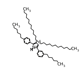 CCCCCCCCCCC[CH2][Pd][CH2]CCCCCCCCCCC.CCCCCCc1ccc(C2=CC=C(c3cccc(CCCCCC)c3)[N+]2=[N-])cc1